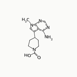 Cn1cc(C2CCN(C(=O)O)CC2)c2c(N)ncnc21